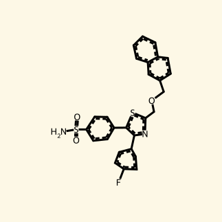 NS(=O)(=O)c1ccc(-c2sc(COCc3ccc4ccccc4c3)nc2-c2ccc(F)cc2)cc1